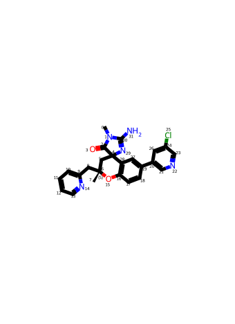 CN1C(=O)C2(C[C@@](C)(Cc3ccccn3)Oc3ccc(-c4cncc(Cl)c4)cc32)N=C1N